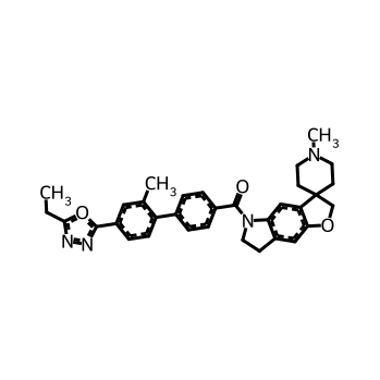 CCc1nnc(-c2ccc(-c3ccc(C(=O)N4CCc5cc6c(cc54)C4(CCN(C)CC4)CO6)cc3)c(C)c2)o1